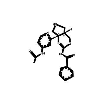 CC(=O)Nc1ccnc([C@@]23CNC[C@@H]2CSC(NC(=O)c2ccccc2)=N3)c1